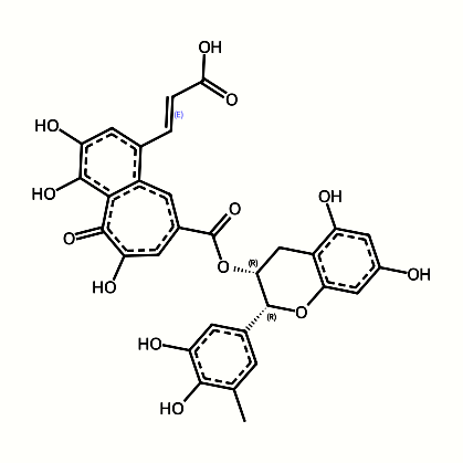 Cc1cc([C@H]2Oc3cc(O)cc(O)c3C[C@H]2OC(=O)c2cc(O)c(=O)c3c(O)c(O)cc(/C=C/C(=O)O)c3c2)cc(O)c1O